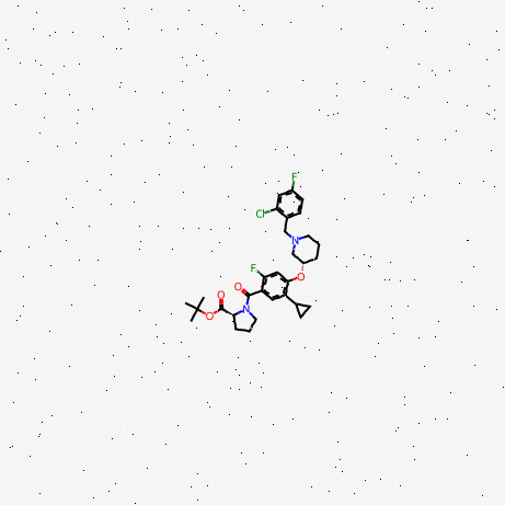 CC(C)(C)OC(=O)[C@@H]1CCCN1C(=O)c1cc(C2CC2)c(O[C@H]2CCCN(Cc3ccc(F)cc3Cl)C2)cc1F